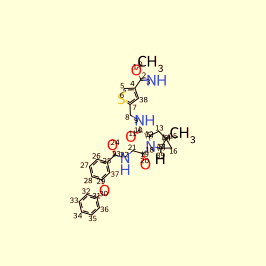 COC(=N)c1csc(CNC(=O)[C@@H]2C[C@]3(C)C[C@@H]3N2C(=O)CNC(=O)c2cccc(Oc3ccccc3)c2)c1